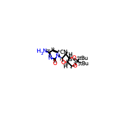 CC(C)(C)[Si]1(C(C)(C)C)OC[C@H]2O[C@@H](n3ccc(N)nc3=O)[C@@H](C#N)[C@@H]2O1